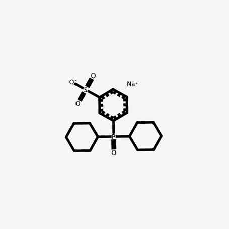 O=P(c1cccc(S(=O)(=O)[O-])c1)(C1CCCCC1)C1CCCCC1.[Na+]